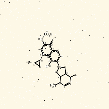 CC1C=CC(N)C2CN(c3ccc4c(=O)c(OC(=O)O)cn([C@@H]5C[C@@H]5F)c4c3Cl)CC12